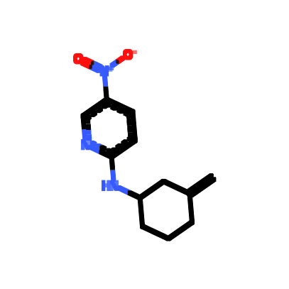 C=C1CCCC(Nc2ccc([N+](=O)[O-])cn2)C1